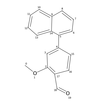 COc1cc(-c2cccc3ccccc23)ccc1C=O